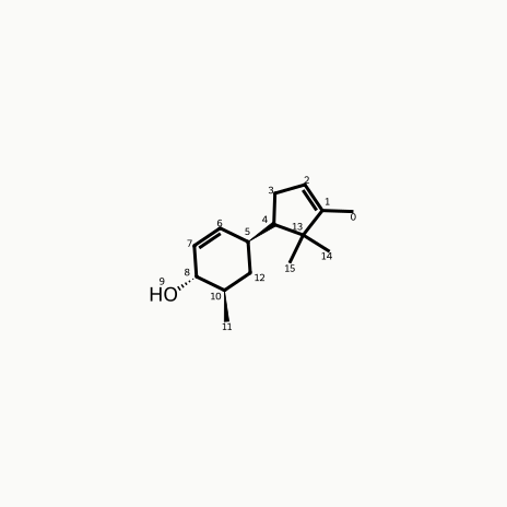 CC1=CCC([C@@H]2C=C[C@@H](O)[C@H](C)C2)C1(C)C